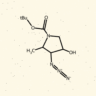 CC1C(N=[N+]=[N-])C(O)CN1C(=O)OC(C)(C)C